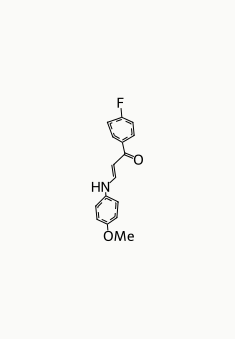 COc1ccc(NC=CC(=O)c2ccc(F)cc2)cc1